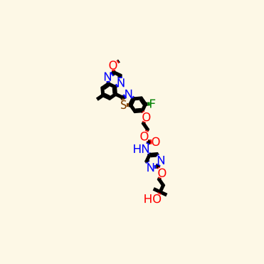 COc1cnc2c(-c3nc4cc(F)c(OCCOC(=O)Nc5cnc(OCCC(C)(C)O)nc5)cc4s3)cc(C)cc2n1